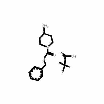 NC1CCN(C(=O)OCc2ccccc2)CC1.O=C(O)C(F)(F)F